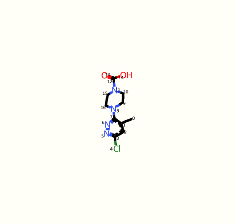 Cc1cc(Cl)nnc1N1CCN(C(=O)O)CC1